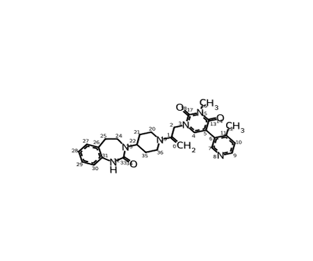 C=C(Cn1cc(-c2cnccc2C)c(=O)n(C)c1=O)N1CCC(N2CCc3ccccc3NC2=O)CC1